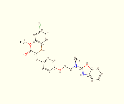 COC(=O)C(Cc1ccc(OCCN(C)c2nc3ccccc3o2)cc1)Sc1ccc(Cl)cc1